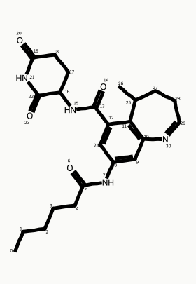 CCCCCC(=O)Nc1cc2c(c(C(=O)NC3CCC(=O)NC3=O)c1)C(C)CCC=N2